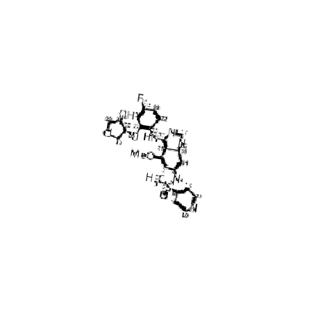 COc1cc(N=S(C)(=O)c2ccncc2)cc2ncnc(Nc3ccc(F)cc3O[C@H]3COC[C@H]3O)c12